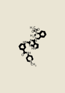 CN1CCC(NC(=O)c2cccc(Nc3nc(NCc4ccccc4N(C)S(C)(=O)=O)c4cc[nH]c4n3)c2)CC1